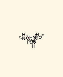 Fc1cccc(-c2nccc3[nH]c(-c4n[nH]c5cc(F)c(-c6cncc(CNCC7CCCC7)c6)cc45)nc23)c1